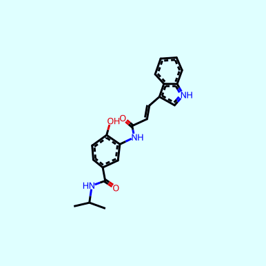 CC(C)NC(=O)c1ccc(O)c(NC(=O)C=Cc2c[nH]c3ccccc23)c1